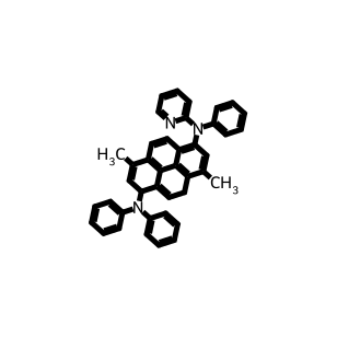 CC1=CC(N(c2ccccc2)c2ccccc2)C2=CCc3c(C)cc(N(c4ccccc4)c4ccccn4)c4ccc1c2c34